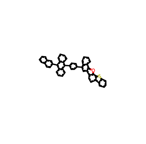 c1ccc2cc(-c3c4ccccc4c(-c4ccc(-c5cc6c7ccc8c9ccccc9sc8c7oc6c6ccccc56)cc4)c4ccccc34)ccc2c1